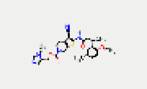 COc1ccc(C)cc1C(C)CC(=O)Nc1sc2c(c1C#N)CCN(C(=O)OCc1cncn1C)C2